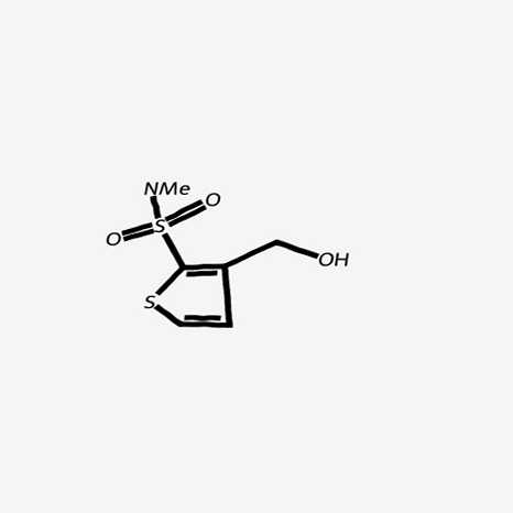 CNS(=O)(=O)c1sccc1CO